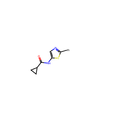 CC(C)c1ncc(NC(=O)C2CC2)s1